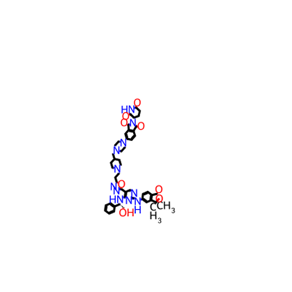 CC1(C)OC(=O)c2ccc(Nc3ncc(-c4nnc(CCN5CCC(CN6CCN(c7ccc8c(c7)C(=O)N(C7CCC(=O)NC7=O)C8=O)CC6)CC5)o4)c(N[C@H](CO)c4ccccc4)n3)cc21